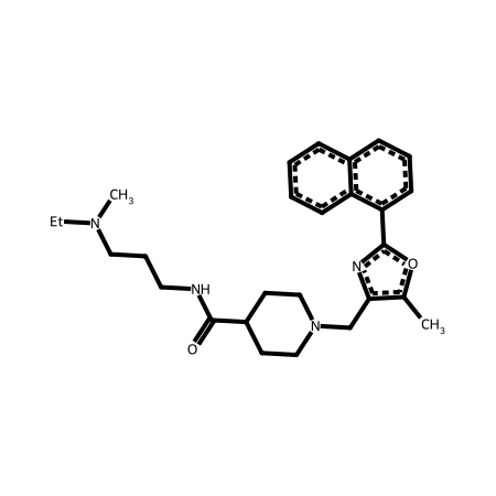 CCN(C)CCCNC(=O)C1CCN(Cc2nc(-c3cccc4ccccc34)oc2C)CC1